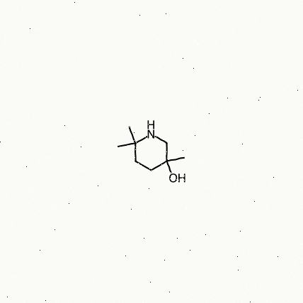 CC1(O)CCC(C)(C)NC1